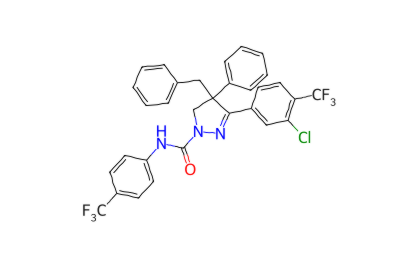 O=C(Nc1ccc(C(F)(F)F)cc1)N1CC(Cc2ccccc2)(c2ccccc2)C(c2ccc(C(F)(F)F)c(Cl)c2)=N1